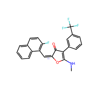 CNC1=C(c2cccc(C(F)(F)F)c2)C(=O)/C(=C\c2c(F)ccc3ccccc23)O1